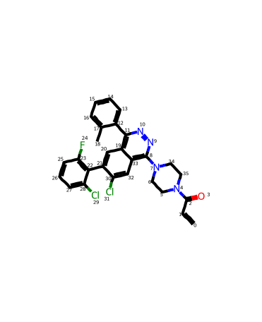 C=CC(=O)N1CCN(c2nnc(-c3ccccc3C)c3cc(-c4c(F)cccc4Cl)c(Cl)cc23)CC1